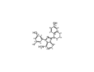 Nc1ncnc2c1c(-c1cc(O)cc(F)c1)nn2C1CCCc2cc(O)ccc21